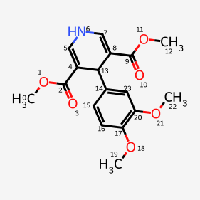 COC(=O)C1=CNC=C(C(=O)OC)C1c1ccc(OC)c(OC)c1